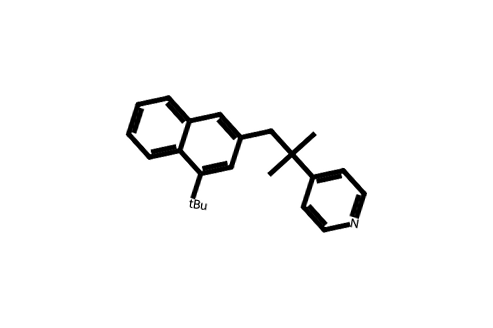 CC(C)(C)c1cc(CC(C)(C)c2ccncc2)cc2ccccc12